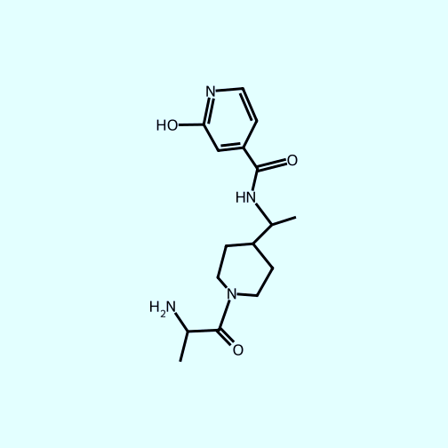 CC(N)C(=O)N1CCC(C(C)NC(=O)c2ccnc(O)c2)CC1